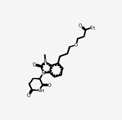 CCC(=O)CCOCCCc1cccc2c1n(C)c(=O)n2C1CCC(=O)NC1=O